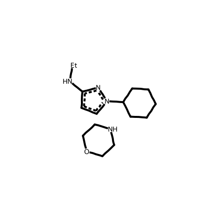 C1COCCN1.CCNc1ccn(C2CCCCC2)n1